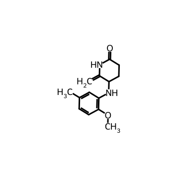 C=C1NC(=O)CCC1Nc1cc(C)ccc1OC